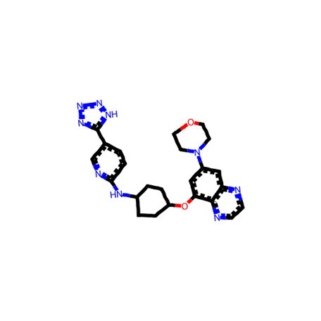 c1cnc2c(OC3CCC(Nc4ccc(-c5nnn[nH]5)cn4)CC3)cc(N3CCOCC3)cc2n1